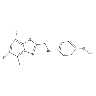 CCCSc1ccc(NCc2nc3c(F)c(F)cc(F)c3s2)cc1